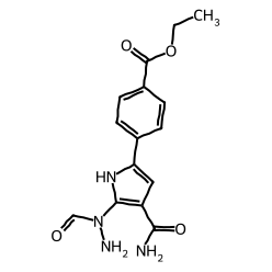 CCOC(=O)c1ccc(-c2cc(C(N)=O)c(N(N)C=O)[nH]2)cc1